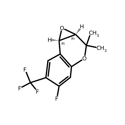 CC1(C)Oc2cc(F)c(C(F)(F)F)cc2[C@H]2O[C@H]21